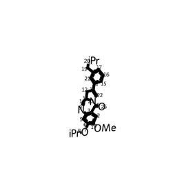 COc1cc2c(cc1OC(C)C)N=CC1CC(c3cccc(CC(C)C)c3)=CN1C2=O